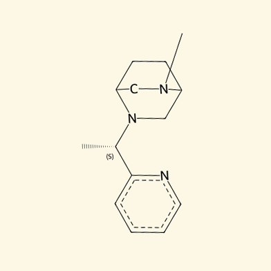 C[C@@H](c1ccccn1)N1CC2CCC1CN2C